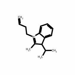 C=CCC[N+]1=C(C)C(C(C)C)c2ccccc21